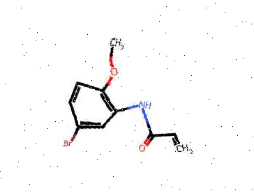 C=CC(=O)Nc1cc(Br)ccc1OC